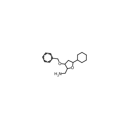 NCC1OC(C2CCCCC2)CC1OCc1ccccc1